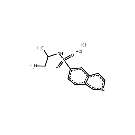 CC(CN)NS(=O)(=O)c1ccc2cnccc2c1.Cl.Cl